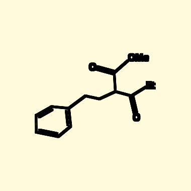 CCC(=O)C(CCc1ccccc1)C(=O)OC